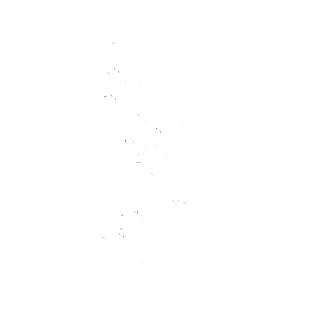 CCOCCn1c(-c2ccc(N3CCCC3C)nc2)nc2c(Cl)c(B(OC)OC(=O)CN(C)CC=O)ccc21